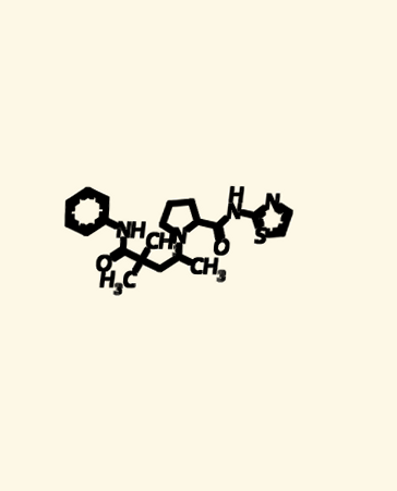 CC(CC(C)(C)C(=O)Nc1ccccc1)N1CCCC1C(=O)Nc1nccs1